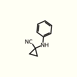 N#CC1(Nc2ccccc2)CC1